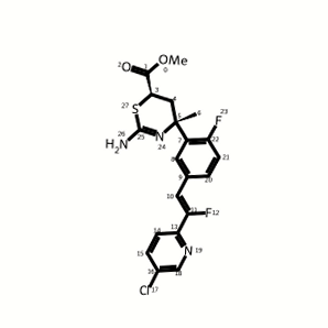 COC(=O)[C@H]1C[C@](C)(c2cc(/C=C(\F)c3ccc(Cl)cn3)ccc2F)N=C(N)S1